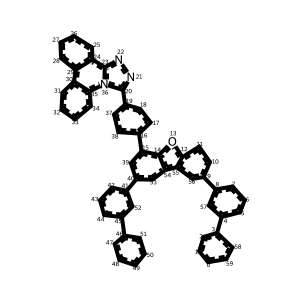 c1ccc(-c2cccc(-c3ccc4oc5c(-c6ccc(-c7nnc8c9ccccc9c9ccccc9n78)cc6)cc(-c6cccc(-c7ccccc7)c6)cc5c4c3)c2)cc1